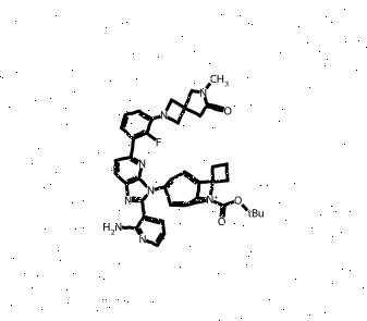 CN1CC2(CC1=O)CN(c1cccc(-c3ccc4nc(-c5cccnc5N)n(C5=CC=C6C7C(=C5)[N+]7(C(=O)OC(C)(C)C)C65CCC5)c4n3)c1F)C2